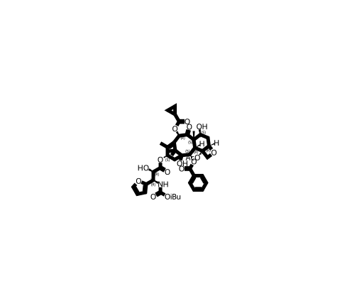 CC(=O)O[C@@]12CO[C@@H]1C[C@H](O)[C@@]1(C)C(=O)[C@H](OC(=O)C3CC3)C3=C(C)[C@@H](OC(=O)[C@H](O)[C@@H](NC(=O)OCC(C)C)c4ccco4)CC(O)([C@@H](OC(=O)c4ccccc4)[C@H]21)C3(C)C